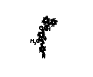 Cn1c(CCc2ccc(C#N)cc2)nc2cc(C(=O)NCCC(c3ccccc3)c3ccccc3)ccc21